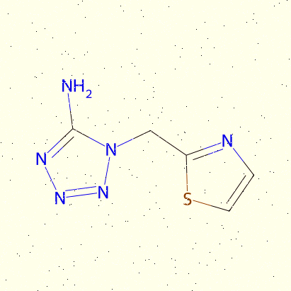 Nc1nnnn1Cc1nccs1